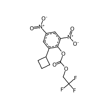 O=C(OCC(F)(F)F)Oc1c(C2CCC2)cc([N+](=O)[O-])cc1[N+](=O)[O-]